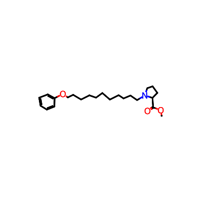 COC(=O)C1CCCN1CCCCCCCCCCCOc1ccccc1